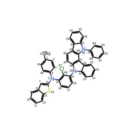 CC(C)(C)c1ccc(N(c2cc3ccccc3s2)c2cccc(-n3c4ccccc4c4c3ccc3c5ccccc5n(-c5ccccc5)c34)c2Cl)cc1